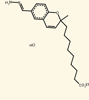 CCOC(=O)CCCCCCCCC1(C)C=Cc2cc(C=NN)ccc2O1.Cl